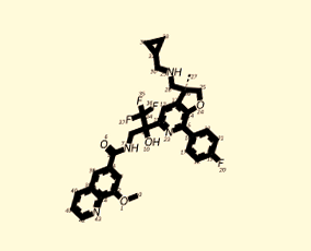 COc1cc(C(=O)NCC(O)(c2cc3c(c(-c4ccc(F)cc4)n2)OC[C@]3(C)CNCC2CC2)C(F)(F)F)cc2cccnc12